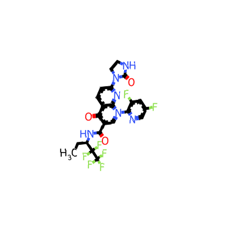 CCC(NC(=O)c1cn(-c2ncc(F)cc2F)c2nc(N3CCNC3=O)ccc2c1=O)C(F)(F)C(F)(F)F